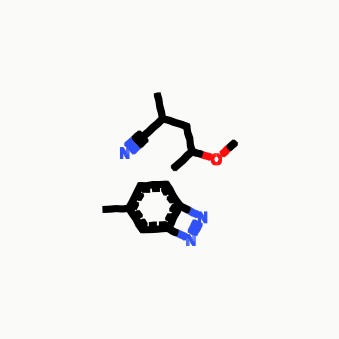 COC(C)CC(C)C#N.Cc1ccc2c(c1)N=N2